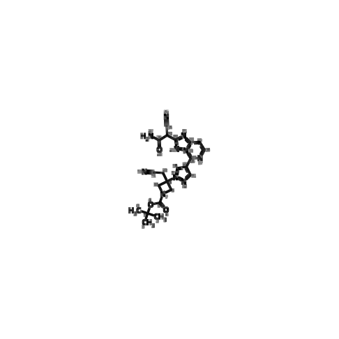 CC(C)(C)OC(=O)N1CC(CC#N)(n2cc(-c3nccc4nc(C(C#N)C(N)=O)nn34)cn2)C1